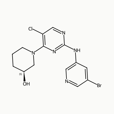 O[C@H]1CCCN(c2nc(Nc3cncc(Br)c3)ncc2Cl)C1